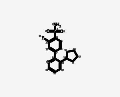 NS(=O)(=O)c1ccc(-c2ncccc2C2CCCC2)cc1F